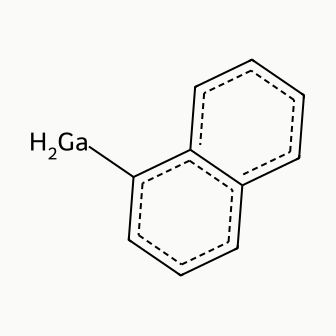 [GaH2][c]1cccc2ccccc12